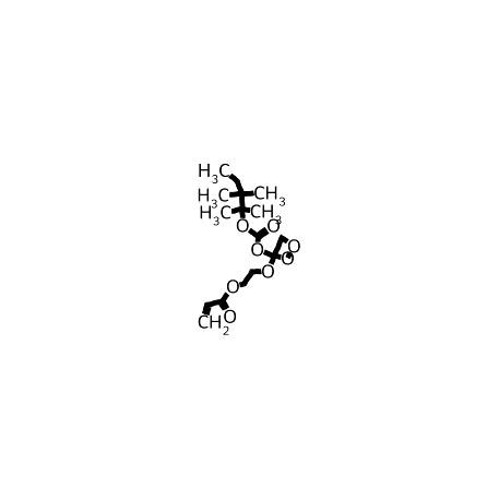 C=CC(=O)OCCOC1(OC(=O)OC(C)(C)C(C)(C)CC)COO1